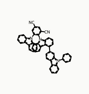 N#Cc1cc(C#N)c(-n2c3ccccc3c3c(-c4ccc5c6ccccc6n(-c6ccccc6)c5c4)cccc32)c(-n2c3ccccc3c3ccccc32)c1